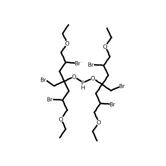 CCOCC(Br)CC(CBr)(CC(Br)COCC)OPOC(CBr)(CC(Br)COCC)CC(Br)COCC